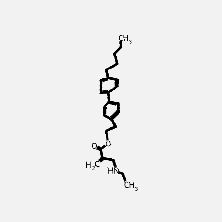 C=C(CNCC)C(=O)OCCc1ccc(-c2ccc(CCCCC)cc2)cc1